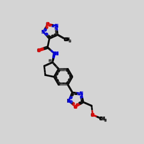 COCc1nc(-c2ccc3c(c2)CC[C@H]3NC(=O)c2nonc2C)no1